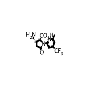 Cc1cc(C(F)(F)F)cc(N2C(=O)C[C@H](CN)[C@H]2C(=O)O)n1